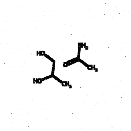 CC(N)=O.CC(O)CO